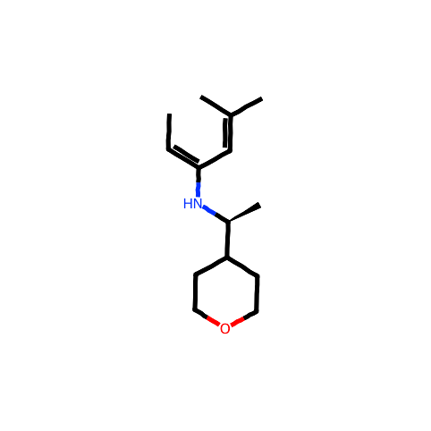 C/C=C(\C=C(C)C)N[C@@H](C)C1CCOCC1